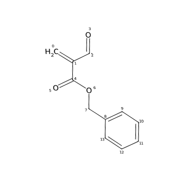 C=C([C]=O)C(=O)OCc1ccccc1